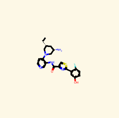 CC[C@@H]1C[C@H](N)CN(c2ccncc2NC(=O)c2csc(-c3cc(O)ccc3F)n2)C1